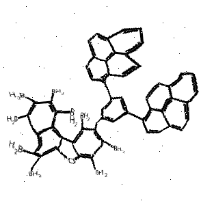 Bc1c(-c2cc(-c3ccc4ccc5cccc6ccc3c4c56)cc(-c3ccc4ccc5cccc6ccc3c4c56)c2)c(B)c2c(oc3c(B)c(B)c4c(B)c(B)c(B)c(B)c4c32)c1B